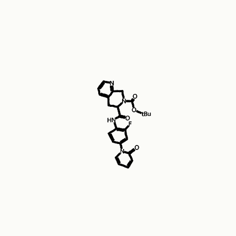 CC(C)(C)OC(=O)N1Cc2ncccc2CC1C(=O)Nc1ccc(-n2ccccc2=O)cc1F